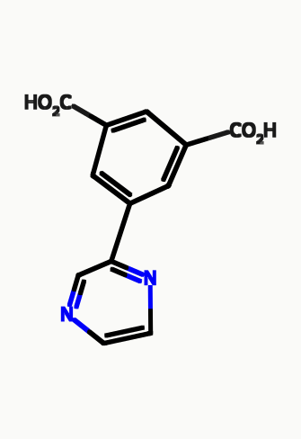 O=C(O)c1cc(C(=O)O)cc(-c2cnccn2)c1